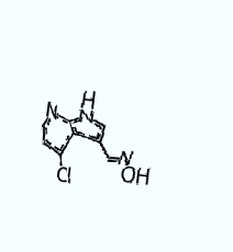 O/N=C/c1c[nH]c2nccc(Cl)c12